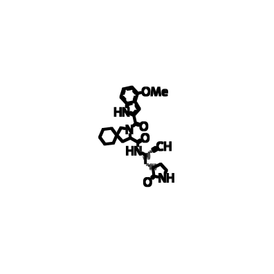 C#C[C@H](C[C@@H]1CCNC1=O)NC(=O)C1CC2(CCCCC2)CN1C(=O)c1cc2c(OC)cccc2[nH]1